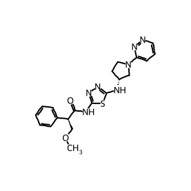 COC[C@H](C(=O)Nc1nnc(N[C@@H]2CCN(c3cccnn3)C2)s1)c1ccccc1